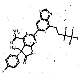 CC1(c2ccc(F)cc2)C(=O)Nc2nc(-c3cn4ncnc4c(CCC(F)(F)C(F)(F)F)n3)nc(C(N)=O)c21